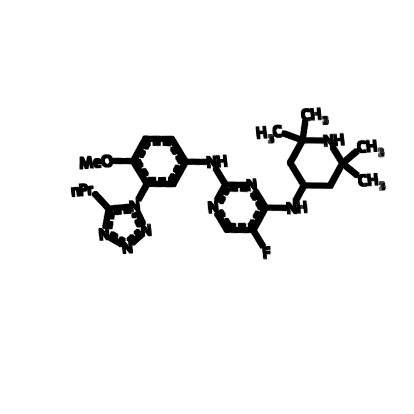 CCCc1nnnn1-c1cc(Nc2ncc(F)c(NC3CC(C)(C)NC(C)(C)C3)n2)ccc1OC